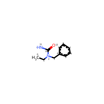 CCN(Cc1ccccc1)C([NH])=O